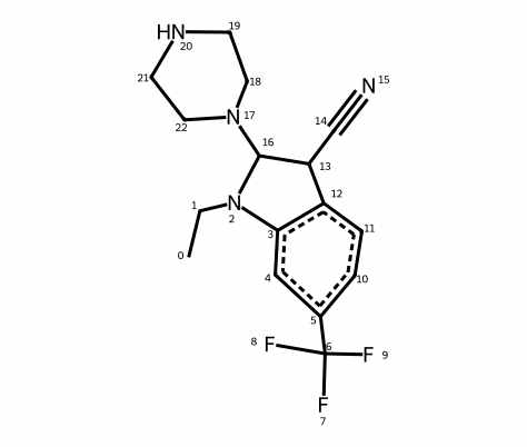 CCN1c2cc(C(F)(F)F)ccc2C(C#N)C1N1CCNCC1